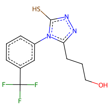 OCCCc1nnc(S)n1-c1cccc(C(F)(F)F)c1